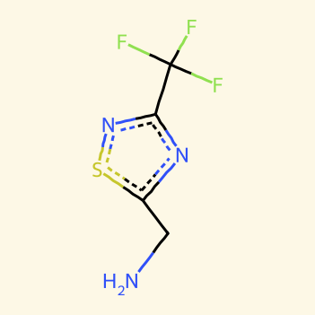 NCc1nc(C(F)(F)F)ns1